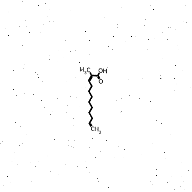 C=CCCCCCCCC=C(C)C(=O)O